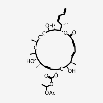 C=C/C=C\[C@H](C)[C@@H]1OC(=O)/C=C\C=C\[C@@H](C)[C@@H](O)C[C@H](OC(=O)OC(C)OC(C)=O)/C=C\[C@H](C)[C@H](O)[C@@H](C)C[C@@H](C)CC[C@@H](O)[C@@H]1C